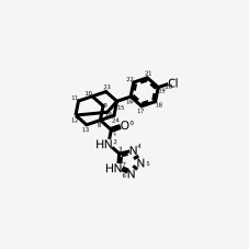 O=C(Nc1nnn[nH]1)C12CC3CC(C1)CC(c1ccc(Cl)cc1)(C3)C2